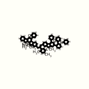 Cc1ccc(/C(=C\c2ccc3c(c2)C(C)(C)c2cc(-c4cccc5c4c4ccccc4n5-c4ccccc4)c4oc5ccccc5c4c2-3)Cc2ccc3c(c2)C(C)(C)c2c4c(c5oc6ccccc6c5c2-3)-c2ccccc2C4(C)C)c(C)c1